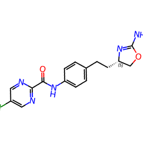 NC1=N[C@@H](CCc2ccc(NC(=O)c3ncc(Cl)cn3)cc2)CO1